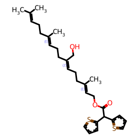 CC(C)=CCC/C(C)=C/CC/C(=C/CC/C(C)=C/COC(=O)C(c1cccs1)c1cccs1)CO